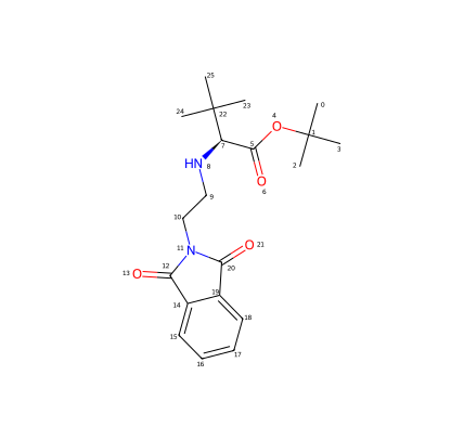 CC(C)(C)OC(=O)[C@@H](NCCN1C(=O)c2ccccc2C1=O)C(C)(C)C